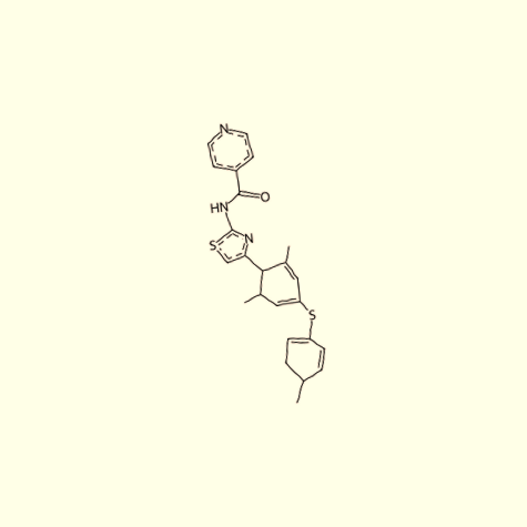 CC1=CC(SC2=CCC(C)C=C2)=CC(C)C1c1csc(NC(=O)c2ccncc2)n1